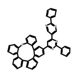 c1ccc(-c2ncc(-c3cc(-c4ccc5c(c4)-c4ccccc4Sc4ccccc4-c4ccccc4-c4ccccc4-5)nc(-c4ccccc4)n3)cn2)cc1